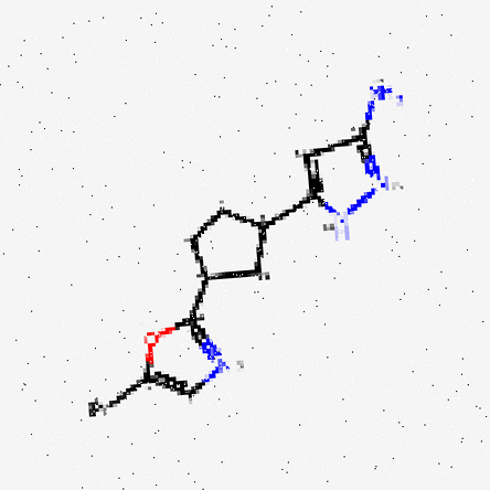 CC(C)c1cnc(C2CCC(c3cc(N)n[nH]3)C2)o1